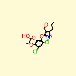 CCCc1nn(C)c(Oc2cc(O[C@@H](C)C(=O)O)c(Cl)cc2Cl)c1C=O